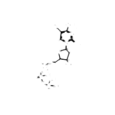 Nc1nc(=O)n(C2CC(O)C(COP(=O)(O)OP(=O)(O)OP(=O)(O)O)O2)cc1I